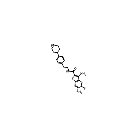 Nc1nc2sc(C(=O)NCCc3ccc(C4CCNCC4)cc3)c(N)c2cc1F